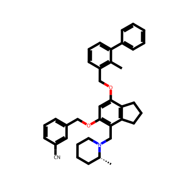 Cc1c(COc2cc(OCc3cccc(C#N)c3)c(CN3CCCC[C@H]3C)c3c2CCC3)cccc1-c1ccccc1